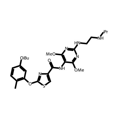 COc1nc(NCCNC(C)C)nc(OC)c1NC(=O)c1csc(Oc2cc(OCC(C)C)ccc2C)n1